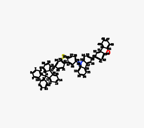 c1ccc(C2(c3ccccc3)c3ccccc3-c3c(-c4ccc5c(c4)sc4ccc(-n6c7ccccc7c7cc(-c8ccc9oc%10ccccc%10c9c8)ccc76)cc45)cccc32)cc1